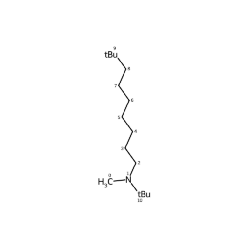 CN(CCCCCCCC(C)(C)C)C(C)(C)C